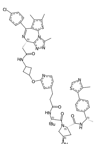 Cc1ncsc1-c1ccc([C@H](C)NC(=O)[C@@H]2C[C@@H](O)CN2C(=O)[C@@H](NC(=O)CCc2ccnc(OC3CC(NC(=O)C[C@@H]4N=C(c5ccc(Cl)cc5)c5c(sc(C)c5C)-n5c(C)nnc54)C3)c2)C(C)(C)C)cc1